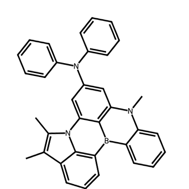 Cc1c(C)n2c3c(cccc13)B1c3ccccc3N(C)c3cc(N(c4ccccc4)c4ccccc4)cc-2c31